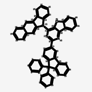 c1ccc(C2(c3ccccc3)c3ccccc3-c3cc(-c4nc(-n5c6ccccc6c6cc7ccccc7cc65)c5oc6ccccc6c5n4)ccc32)cc1